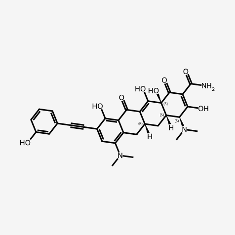 CN(C)c1cc(C#Cc2cccc(O)c2)c(O)c2c1C[C@H]1C[C@H]3[C@H](N(C)C)C(O)=C(C(N)=O)C(=O)[C@@]3(O)C(O)=C1C2=O